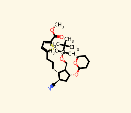 COC(=O)c1ccc(CCC[C@@H]2[C@@H](CO[Si](C)(C)C(C)(C)C)[C@H](OC3CCCCO3)C[C@H]2C#N)s1